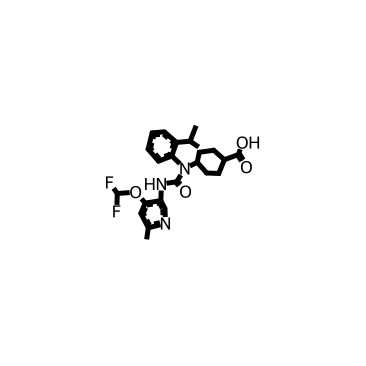 Cc1cc(OC(F)F)c(NC(=O)N(c2ccccc2C(C)C)C2CCC(C(=O)O)CC2)cn1